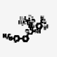 COc1ccc(-c2cccc(C(=O)CC(=O)Nc3cc(C(F)(F)F)c(C)cc3NC(=O)OC(C)(C)C)c2)cn1